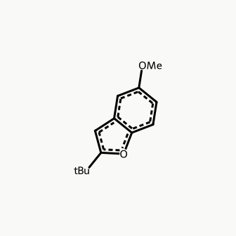 COc1ccc2oc(C(C)(C)C)cc2c1